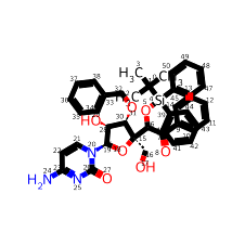 CC(C)(C)[Si](OC(C(=O)c1ccccc1)[C@@]1(CO)O[C@@H](n2ccc(N)nc2=O)[C@H](O)[C@@H]1OCc1ccccc1)(c1ccccc1)c1ccccc1